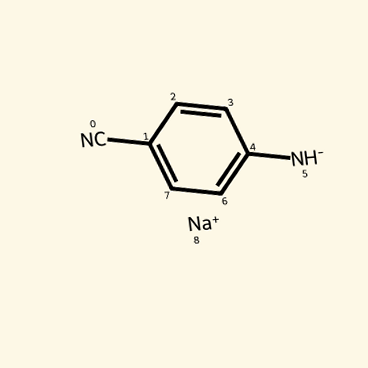 N#Cc1ccc([NH-])cc1.[Na+]